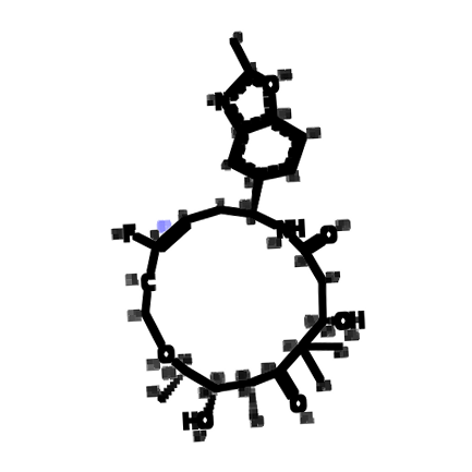 Cc1nc2cc([C@@H]3C/C=C(/F)CCO[C@@H](C)[C@@H](O)[C@@H](C)C(=O)C(C)(C)[C@@H](O)CC(=O)N3)ccc2o1